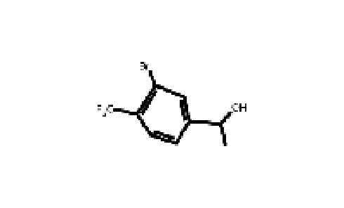 CC(O)c1ccc(C(F)(F)F)c(Br)c1